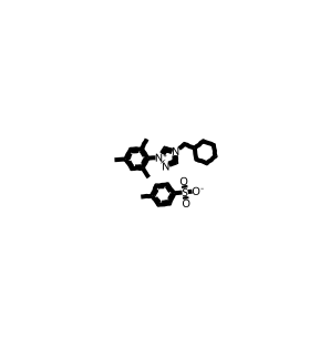 Cc1cc(C)c(-[n+]2cn(CC3CCCCC3)cn2)c(C)c1.Cc1ccc(S(=O)(=O)[O-])cc1